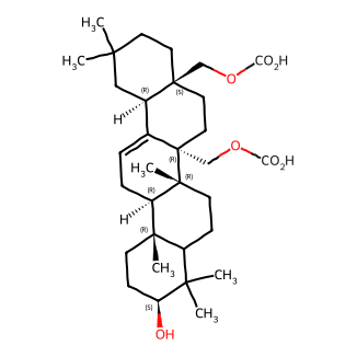 CC1(C)CC[C@]2(COC(=O)O)CC[C@]3(COC(=O)O)C(=CC[C@@H]4[C@@]5(C)CC[C@H](O)C(C)(C)C5CC[C@]43C)[C@H]2C1